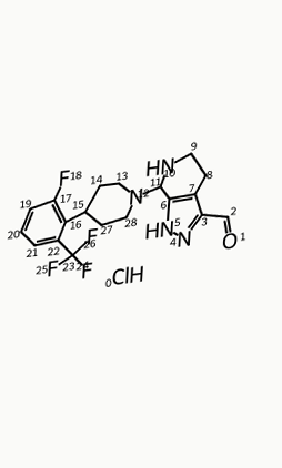 Cl.O=Cc1n[nH]c2c1CCNC2N1CCC(c2c(F)cccc2C(F)(F)F)CC1